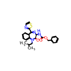 CC(C)CN1C(=O)C(NC(=O)OCc2ccccc2)N=C(c2nccs2)c2ccccc21